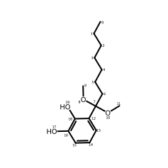 CCCCCCCC(OC)(OC)c1cccc(O)c1O